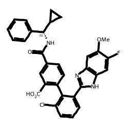 COc1cc2nc(-c3cccc(Cl)c3-c3ccc(C(=O)N[C@H](c4ccccc4)C4CC4)cc3C(=O)O)[nH]c2cc1F